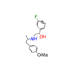 COc1ccc(CC(C)NCC(O)c2cccc(F)c2)cc1